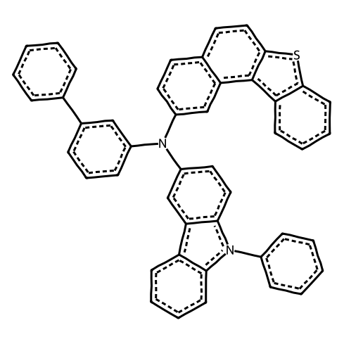 c1ccc(-c2cccc(N(c3ccc4ccc5sc6ccccc6c5c4c3)c3ccc4c(c3)c3ccccc3n4-c3ccccc3)c2)cc1